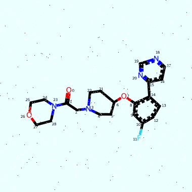 O=C(CN1CCC(Oc2cc(F)ccc2-c2ccncn2)CC1)N1CCOCC1